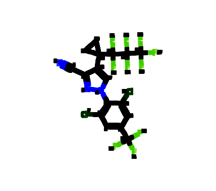 N#Cc1nn(-c2c(Cl)cc(C(F)(F)F)cc2Cl)cc1C1(C(F)(F)C(F)(F)C(F)(F)F)CC1